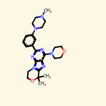 CN1CCN(c2cccc(-c3nc(N4CCOCC4)c4nc5n(c4n3)CCOC5(C)C)c2)CC1